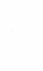 Cc1cccc(C(=O)NC23CC4CC(CC(NC(=O)Oc5cccc(N6CCC(O)C6)n5)(C4)C2)C3)n1